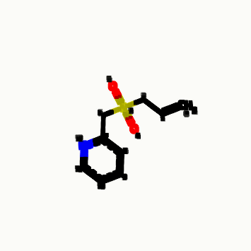 C=CCS(=O)(=O)Cc1ccccn1